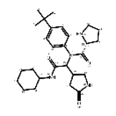 CC(C)(C)c1ccc(N(C(=O)[C@H]2CCCN2)C(C(=O)NC2CCCCC2)C2CNC(=O)C2)cc1